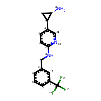 N[C@H]1C[C@@H]1c1ccc(NCc2cccc(C(F)(F)F)c2)nc1